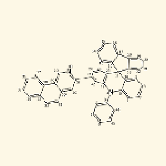 c1ccc(N2c3ccccc3C3(c4ccccc4-c4ccccc43)c3ccc(-c4cc5ccc6cccnc6c5cn4)cc32)cc1